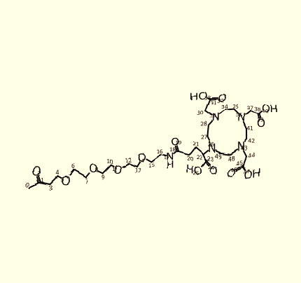 CC(=O)CCOCCOCCOCCOCCNC(=O)CCC(C(=O)O)N1CCN(CC(=O)O)CCN(CC(=O)O)CCN(CC(=O)O)CC1